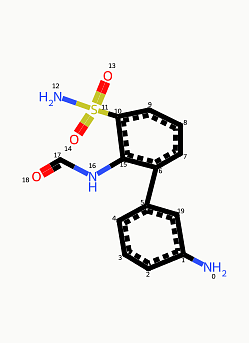 Nc1cccc(-c2cccc(S(N)(=O)=O)c2NC=O)c1